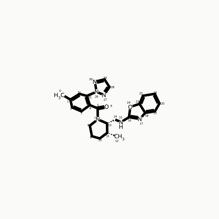 Cc1ccc(C(=O)N2CCC[C@@H](C)[C@H]2CNc2nc3ccccc3o2)c(-n2nccn2)c1